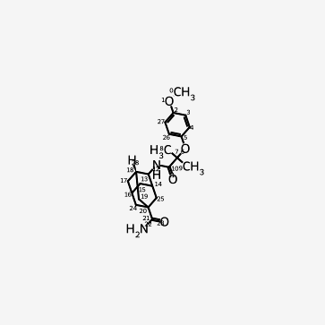 COc1ccc(OC(C)(C)C(=O)NC2C3CC4C[C@H]2CC(C(N)=O)(C4)C3)cc1